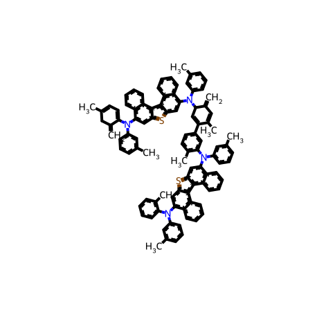 C=C1CC(C)=CC=C1N(c1cccc(C)c1)c1cc2sc3cc(N(c4cccc(C)c4)C4C=C(c5ccc(C)c(N(c6cccc(C)c6)c6cc7sc8cc(N(c9cccc(C)c9)c9ccccc9C)c9ccccc9c8c7c7ccccc67)c5)C(C)=CC4=C)c4ccccc4c3c2c2ccccc12